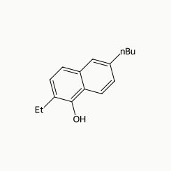 CCCCc1ccc2c(O)c(CC)ccc2c1